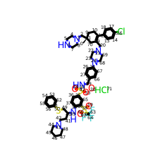 C[C@@]1(CN2CCNCC2)CCC(c2ccc(Cl)cc2)=C(CN2CCN(c3ccc(C(=O)NS(=O)(=O)c4ccc(NC(CCN5CCCCC5)CSc5ccccc5)c(S(=O)(=O)C(F)(F)F)c4)cc3)CC2)C1.Cl